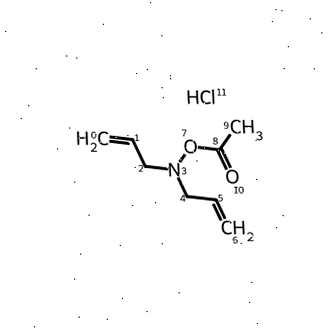 C=CCN(CC=C)OC(C)=O.Cl